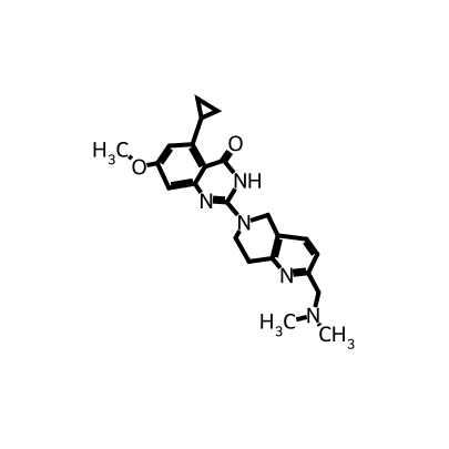 COc1cc(C2CC2)c2c(=O)[nH]c(N3CCc4nc(CN(C)C)ccc4C3)nc2c1